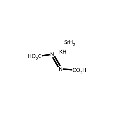 O=C(O)N=NC(=O)O.[KH].[SrH2]